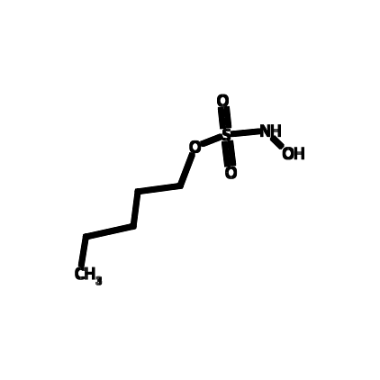 CCCCCOS(=O)(=O)NO